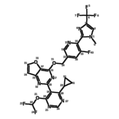 Cn1cc(C(F)(F)F)nc1-c1ncc(COc2nc(-c3c(OC(F)F)ncnc3C3CC3)nc3ccoc23)cc1F